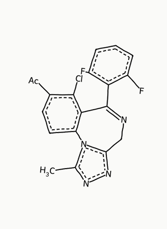 CC(=O)c1ccc2c(c1Cl)C(c1c(F)cccc1F)=NCc1nnc(C)n1-2